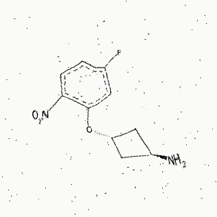 N[C@H]1C[C@H](Oc2cc(F)ccc2[N+](=O)[O-])C1